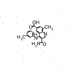 Cc1cccc(Nc2c(C(N)=O)cnc3c(C)cc(C(=O)O)cc23)c1